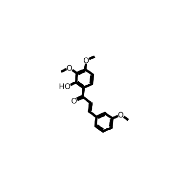 COc1cccc(C=CC(=O)c2ccc(OC)c(OC)c2O)c1